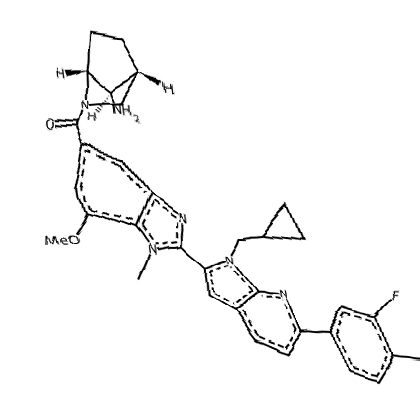 COc1cc(C(=O)N2C[C@H]3CC[C@@H]2[C@@H]3N)cc2nc(-c3cc4ccc(-c5ccc(N)c(F)c5)nc4n3CC3CC3)n(C)c12